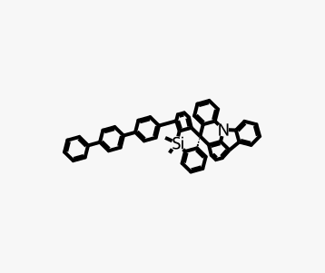 C[Si]1(C)c2ccccc2[C@@]2(c3ccccc3-n3c4ccccc4c4cccc2c43)c2cccc(-c3ccc(-c4ccc(-c5ccccc5)cc4)cc3)c21